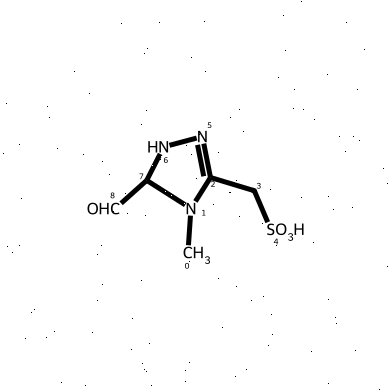 CN1C(CS(=O)(=O)O)=NNC1C=O